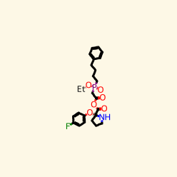 CCOP(=O)(CCCCc1ccccc1)CC(=O)OC(=O)[C@]1(Oc2ccc(F)cc2)CCCN1